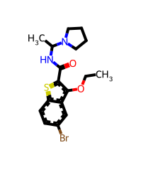 CCOc1c(C(=O)NC(C)N2CCCC2)sc2ccc(Br)cc12